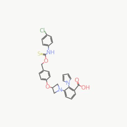 O=C(O)c1cccc(N2CC(Oc3ccc(COC(=S)Nc4ccc(Cl)cc4)cc3)C2)c1-n1cccc1